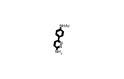 CC(=O)Nc1ccc(-c2ccc(N)nn2)cc1